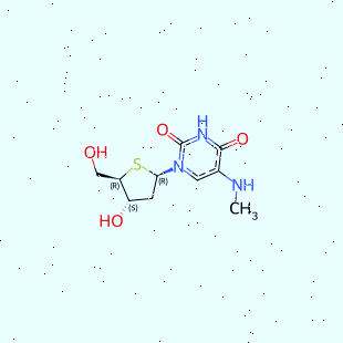 CNc1cn([C@H]2C[C@H](O)[C@@H](CO)S2)c(=O)[nH]c1=O